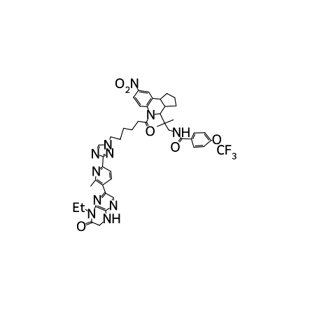 CCN1C(=O)CNc2ncc(-c3ccc(-c4ncn(CCCCCC(=O)N5c6ccc([N+](=O)[O-])cc6C6CCCC6C5C(C)(C)CNC(=O)c5ccc(OC(F)(F)F)cc5)n4)nc3C)nc21